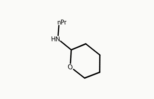 CCCNC1CCCCO1